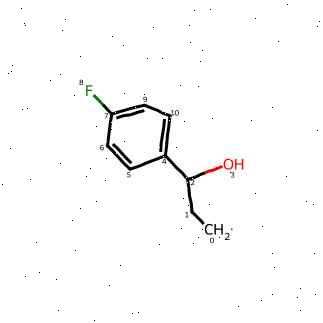 [CH2]CC(O)c1ccc(F)cc1